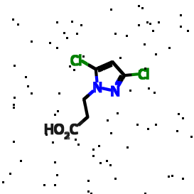 O=C(O)CCn1nc(Cl)cc1Cl